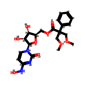 COCC(COC)(C(=O)OC[C@H]1O[C@@H](n2ccc(NO)nc2=O)[C@H](O)[C@@H]1O)c1ccccc1